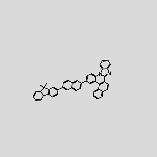 CC1(C)c2cc(-c3ccc4cc(-c5ccc6c(c5)c5c7ccccc7ccc5c5nc7ccccc7n65)ccc4c3)ccc2C2C=CC=CC21